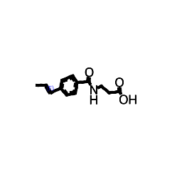 C/C=C/c1ccc(C(=O)NCCC(=O)O)cc1